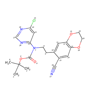 CC(C)(C)OC(=O)N(CCc1cc2c(cc1C#N)OCCO2)c1cc(Cl)ncn1